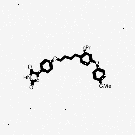 CCCc1cc(Oc2ccc(OC)cc2)ccc1CCCCOc1ccc(C2SC(=O)NC2=O)cc1